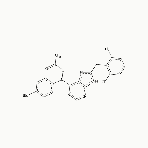 CC(C)(C)c1ccc(N(OC(=O)C(F)(F)F)c2ncnc3[nH]c(Cc4c(Cl)cccc4Cl)nc23)cc1